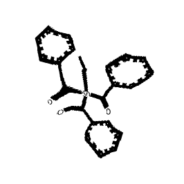 C[CH2][Sn]([C](=O)c1ccccc1)([C](=O)c1ccccc1)[C](=O)c1ccccc1